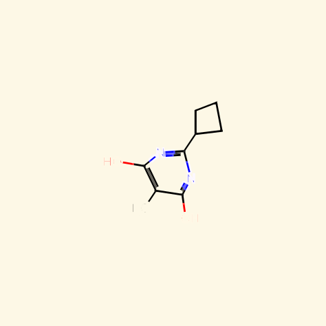 Cc1c(O)nc(C2CCC2)nc1O